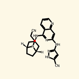 N#CCCN1[C@@H]2CC[C@H]1C[C@H](Nc1nc(Nc3cc(C#N)[nH]n3)cc3ncccc13)C2